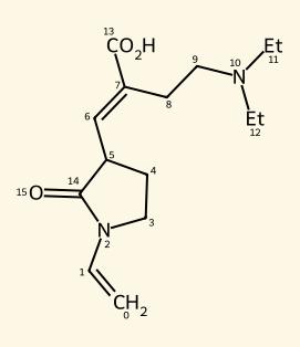 C=CN1CCC(C=C(CCN(CC)CC)C(=O)O)C1=O